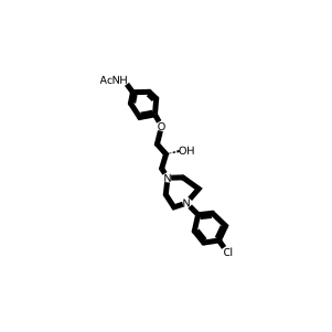 CC(=O)Nc1ccc(OC[C@H](O)CN2CCN(c3ccc(Cl)cc3)CC2)cc1